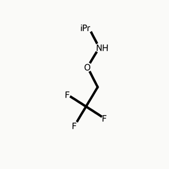 CC(C)NOCC(F)(F)F